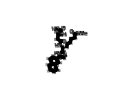 CNC(=O)CCCCC[C@H](NC(=O)Cc1n[nH]c(=O)[nH]1)c1ncc(-c2ccc3ccccc3c2)[nH]1